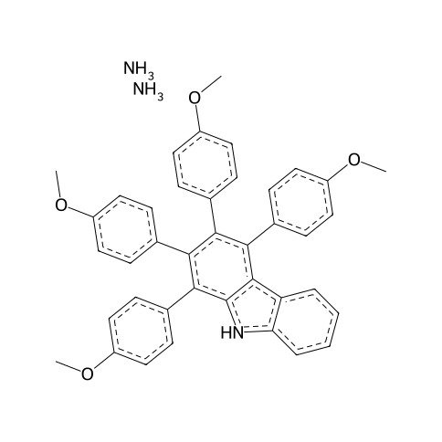 COc1ccc(-c2c(-c3ccc(OC)cc3)c(-c3ccc(OC)cc3)c3c([nH]c4ccccc43)c2-c2ccc(OC)cc2)cc1.N.N